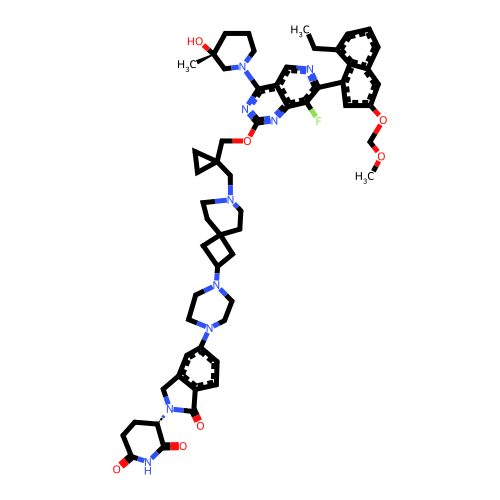 CCc1cccc2cc(OCOC)cc(-c3ncc4c(N5CCC[C@@](C)(O)C5)nc(OCC5(CN6CCC7(CC6)CC(N6CCN(c8ccc9c(c8)CN([C@H]8CCC(=O)NC8=O)C9=O)CC6)C7)CC5)nc4c3F)c12